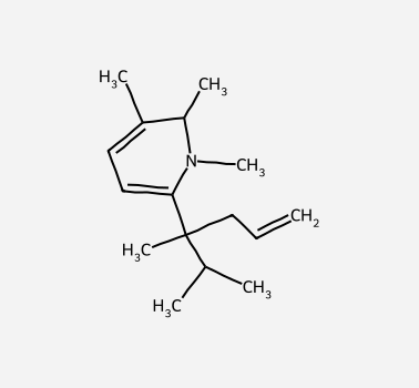 C=CCC(C)(C1=CC=C(C)C(C)N1C)C(C)C